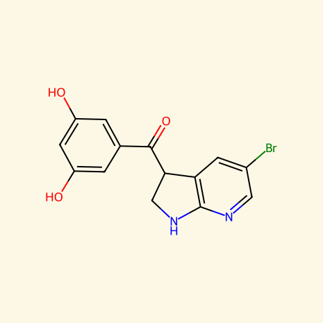 O=C(c1cc(O)cc(O)c1)C1CNc2ncc(Br)cc21